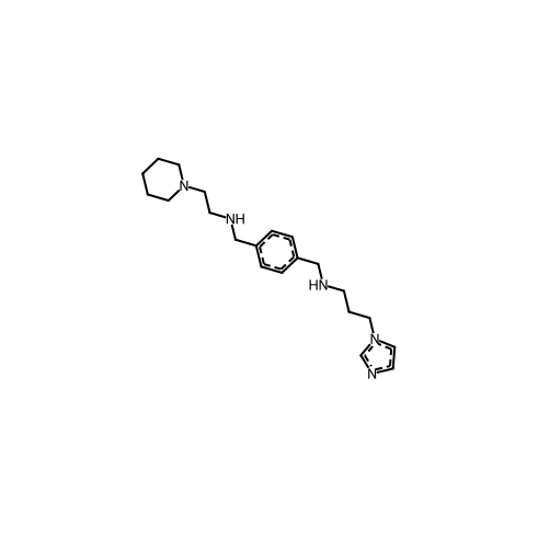 c1cn(CCCNCc2ccc(CNCCN3CCCCC3)cc2)cn1